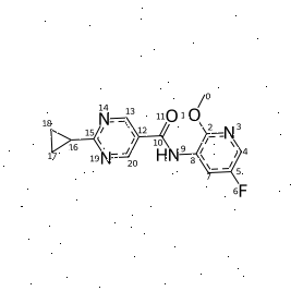 COc1ncc(F)cc1NC(=O)c1cnc(C2CC2)nc1